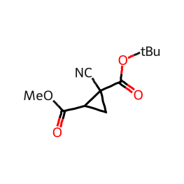 COC(=O)C1CC1(C#N)C(=O)OC(C)(C)C